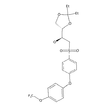 CCC1(CC)OC[C@@H]([C@H]([O])CS(=O)(=O)c2ccc(Oc3ccc(OC(F)(F)F)cc3)cc2)O1